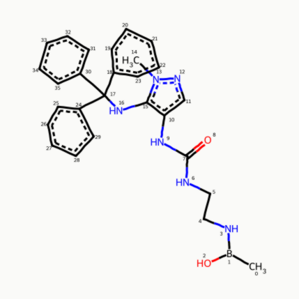 CB(O)NCCNC(=O)Nc1cnn(C)c1NC(c1ccccc1)(c1ccccc1)c1ccccc1